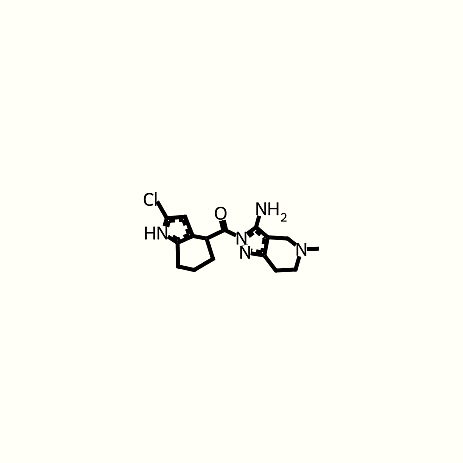 CN1CCc2nn(C(=O)C3CCCc4[nH]c(Cl)cc43)c(N)c2C1